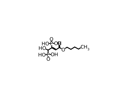 CCCCCOC(=O)C=C(C(O)P(=O)(O)O)P(=O)(O)O